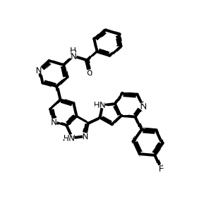 O=C(Nc1cncc(-c2cnc3[nH]nc(-c4cc5c(-c6ccc(F)cc6)nccc5[nH]4)c3c2)c1)c1ccccc1